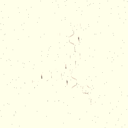 COc1ccc(C23CCC(CN(c4cccc(-n5cnc(C6CC6)c5)c4)C(=O)[C@H]4CC[C@H](CC(=O)O)CC4)(CC2)CC3)cc1C